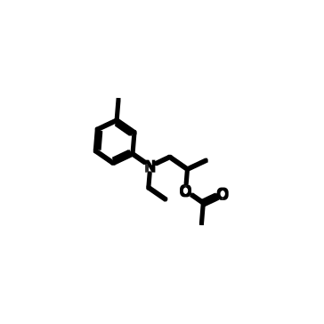 CCN(CC(C)OC(C)=O)c1cccc(C)c1